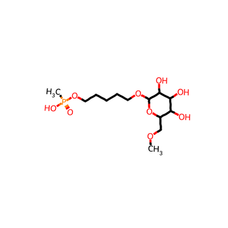 COCC1OC(OCCCCCOP(C)(=O)O)C(O)C(O)C1O